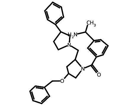 CC(N)c1cccc(C(=O)N2CC(OCc3ccccc3)CC2CN2CCC(c3ccccc3)C2)c1